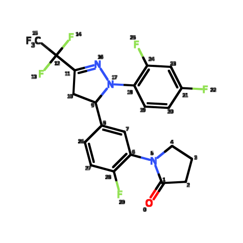 O=C1CCCN1c1cc(C2CC(C(F)(F)C(F)(F)F)=NN2c2ccc(F)cc2F)ccc1F